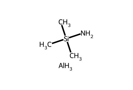 C[Si](C)(C)N.[AlH3]